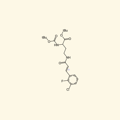 CC(C)(C)OC(=O)NC(CCNC(=O)/C=C/c1cccc(Cl)c1F)C(=O)OC(C)(C)C